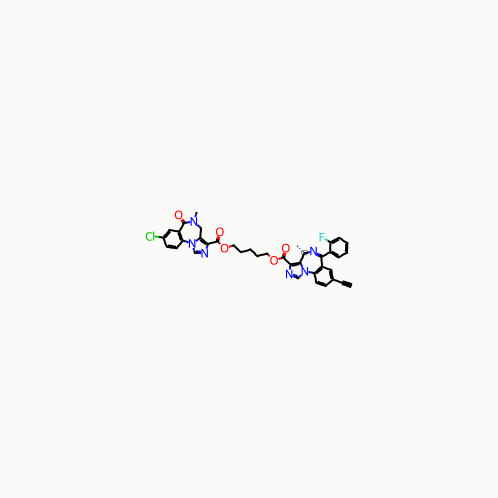 C#Cc1ccc2c(c1)C(c1ccccc1F)=N[C@@H](C)c1c(C(=O)OCCCCCOC(=O)c3ncn4c3CN(C)C(=O)c3cc(Cl)ccc3-4)ncn1-2